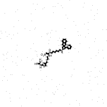 CC(c1ccccn1)C1(CCN(C)CCCCCCNC(=C[N+](=O)[O-])NCCSCc2csc(NC(=N)N)n2)Cc2ccccc2C1